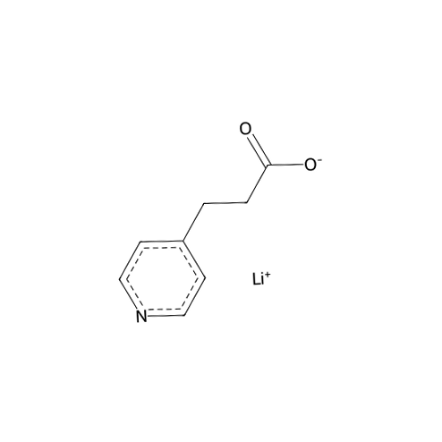 O=C([O-])CCc1ccncc1.[Li+]